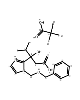 CC(C)C(O)(CC(=O)O)c1nccn1COCc1ccccc1.O=C(O)C(F)(F)F